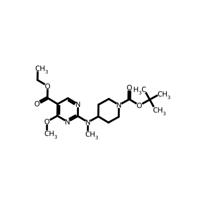 CCOC(=O)c1cnc(N(C)C2CCN(C(=O)OC(C)(C)C)CC2)nc1OC